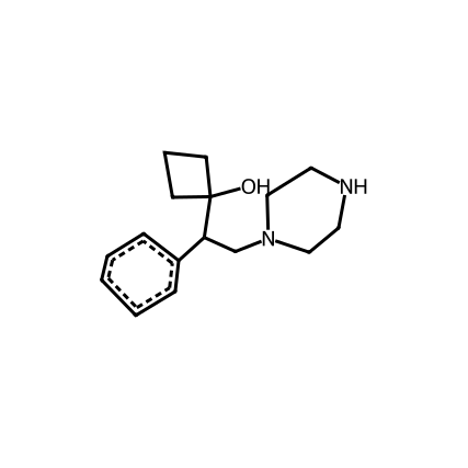 OC1(C(CN2CCNCC2)c2ccccc2)CCC1